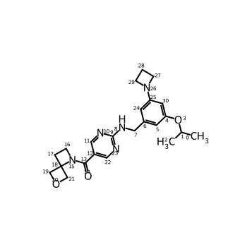 CC(C)Oc1cc(CNc2ncc(C(=O)N3CCC34COC4)cn2)cc(N2CCC2)c1